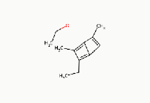 CC[O].CCc1c2cc(C)c-2c1C